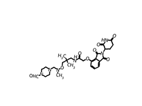 CN(CN1CCN(C=O)CC1)OCC(C)(C)CNC(=O)COc1cccc2c1C(=O)N(C1CCC(=O)NC1=O)C2=O